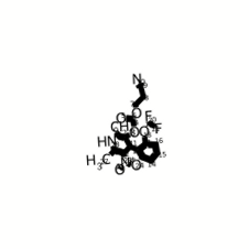 CC1=C(OC(=O)OCCC#N)C(c2ccccc2OC(F)F)C([N+](=O)[O-])=C(C)N1